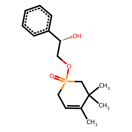 CC1=CCP(=O)(OC[C@@H](O)c2ccccc2)CC1(C)C